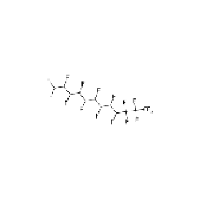 FC(F)C(F)C(F)C(F)C(F)C(F)C(F)C(F)C(F)C(F)(F)C(F)(F)C(F)(F)F